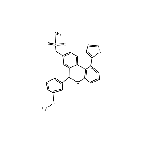 COc1cccc(C2Oc3cccc(-c4cccs4)c3-c3ccc(CS(N)(=O)=O)cc32)c1